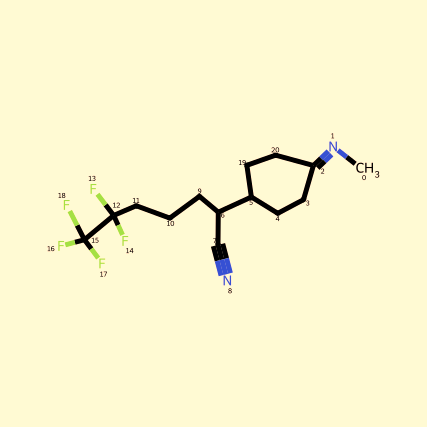 CN=C1CCC(C(C#N)CCCC(F)(F)C(F)(F)F)CC1